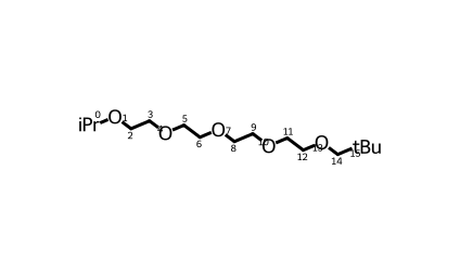 CC(C)OCCOCCOCCOCCOCC(C)(C)C